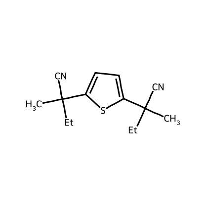 CCC(C)(C#N)c1ccc(C(C)(C#N)CC)s1